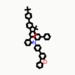 CC(C)(C)c1ccc(-c2ccc3c(c2)C(C)(C)c2ccc(-c4ccccc4N(c4ccc(-c5ccc6oc7ccccc7c6c5)cc4)c4cccc(-c5ccccc5)c4)cc2-3)cc1